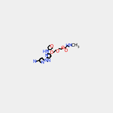 CNCCC(=O)OCCOCCOc1cc2ncn(-c3ccc(C#N)cn3)c2nc1NC1CCOCC1